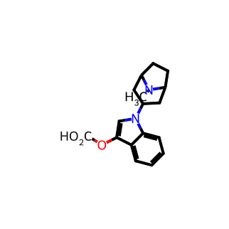 CN1C2CCC1CC(n1cc(OC(=O)O)c3ccccc31)C2